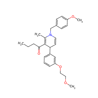 CCCC(=O)C1=C(C)N(Cc2ccc(OC)cc2)C=CC1c1cccc(OCCOC)c1